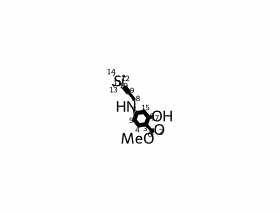 COC(=O)c1ccc(NCC#C[Si](C)(C)C)cc1O